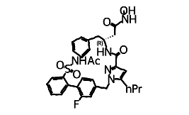 CCCc1cc(C(=O)N[C@@H](CC(=O)NO)Cc2ccccc2)nn1Cc1ccc(-c2ccccc2S(=O)(=O)NC(C)=O)c(F)c1